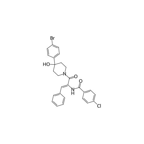 O=C(NC(=Cc1ccccc1)C(=O)N1CCC(O)(c2ccc(Br)cc2)CC1)c1ccc(Cl)cc1